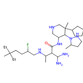 CCC(C)(CC)CCC(F)CNC(C)C(C(=O)NC1CNCC(C)(C2CCCC2)C1N1NCCC1C)C(N)N